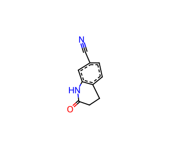 N#Cc1ccc2c(c1)NC(=O)CC2